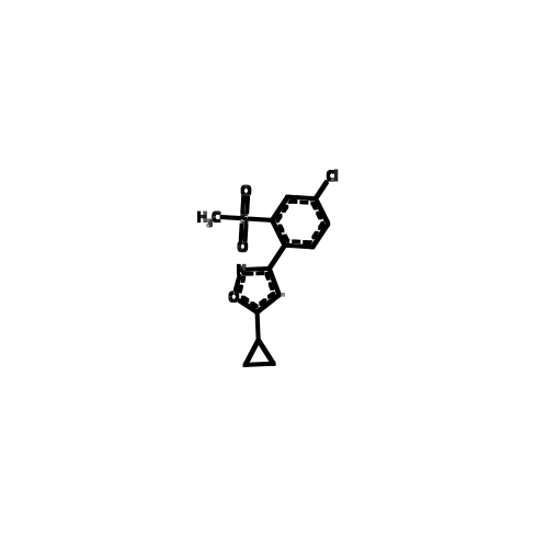 CS(=O)(=O)c1cc(Cl)ccc1-c1[c]c(C2CC2)on1